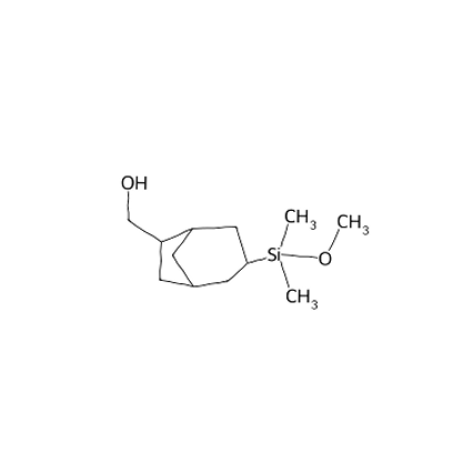 CO[Si](C)(C)C1CC2CC(CO)C(C2)C1